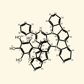 Oc1c(O)c(O)c(-c2ccc(-n3c4ccccc4c4ccc5c6ccccc6n(-c6nc(-c7ccccc7)nc(-c7ccccc7)n6)c5c43)cc2-c2ccccc2)c(O)c1O